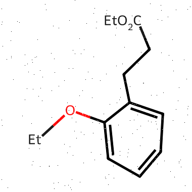 CCOC(=O)CCc1ccccc1OCC